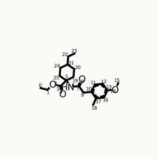 CCOC(=O)C1(NC(=O)Cc2ccc(OC)cc2C)CCC(CC)CC1